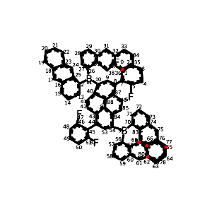 Fc1cccc(F)c1-c1cc(B(c2cccc3cc4ccccc4cc23)c2cccc3cc4ccccc4cc23)c2ccc3c(-c4c(F)cccc4F)cc(B(c4cccc5cc6ccccc6cc45)c4cccc5cc6ccccc6cc45)c4ccc1c2c43